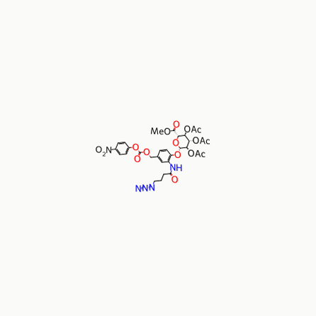 COC(=O)[C@H]1O[C@@H](Oc2ccc(COC(=O)Oc3ccc([N+](=O)[O-])cc3)cc2NC(=O)CCCN=[N+]=[N-])[C@H](OC(C)=O)[C@@H](OC(C)=O)[C@@H]1OC(C)=O